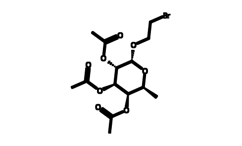 CC(=O)O[C@H]1[C@H](OC(C)=O)[C@H](OCCBr)O[C@@H](C)[C@H]1OC(C)=O